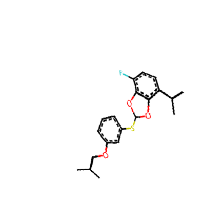 CC(C)COc1cccc(SC2Oc3c(F)ccc(C(C)C)c3O2)c1